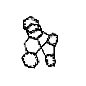 c1ccc(-c2cccc3c2C2(c4ccccc4Cc4ccccc42)c2ccccc2-3)cc1